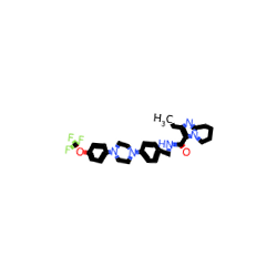 CCc1nc2n(c1C(=O)NCc1ccc(N3CCN(c4ccc(OC(F)(F)F)cc4)CC3)cc1)CCCC2